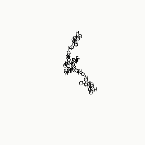 COc1cc2nn([C@H]3CC[C@H](CN4CCC(c5c(Cl)ccc6c5n(C)c(=O)n6C5CCC(=O)NC5=O)CC4)CC3)cc2cc1NC(=O)c1cc(C2CN(c3cc4nn([C@H]5CC[C@H](CN6CCC(c7cccc8c7n(C)c(=O)n8C7CCC(=O)NC7=O)CC6)CC5)cc4cc3NC(=O)c3cccc(C(F)(F)F)n3)CCO2)cc(C(F)(F)F)n1